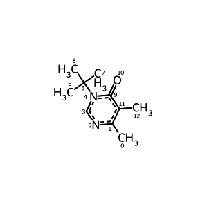 Cc1ncn(C(C)(C)C)c(=O)c1C